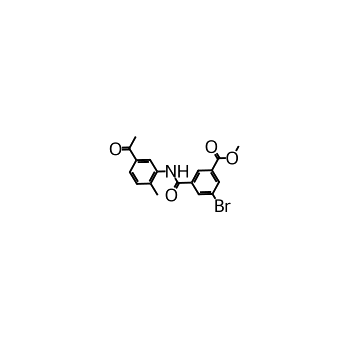 COC(=O)c1cc(Br)cc(C(=O)Nc2cc(C(C)=O)ccc2C)c1